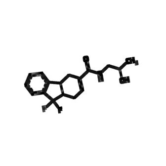 CC(O)CNC(=O)C1=CCC2C(C1)c1ccccc1C2(F)F